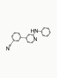 N#Cc1cccc(-c2ccnc(Nc3ccccc3)c2)c1